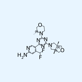 C[C@@H]1COCCN1c1nc(-c2cnc(N)cc2C(F)F)nc(N2C[C@]3(C)COC[C@]3(C)C2)n1